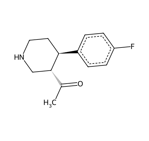 CC(=O)[C@@H]1CNCC[C@H]1c1ccc(F)cc1